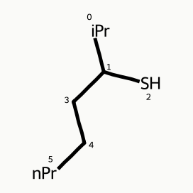 [CH2]C(C)C(S)CCCCC